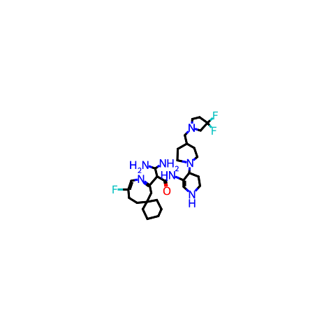 NC(N)C(C(=O)NC1=CNCCC1N1CCC(CN2CCC(F)(F)C2)CC1)/C1=N/C=C(/F)CCC2(CCCCC2)C1